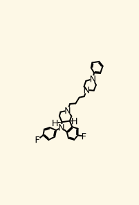 Fc1ccc(N2c3ccc(F)cc3[C@@H]3CN(CCCCN4CCN(c5ccccc5)CC4)CC[C@H]32)cc1